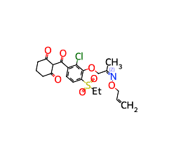 C=CCO/N=C(/C)COc1c(S(=O)(=O)CC)ccc(C(=O)C2C(=O)CCCC2=O)c1Cl